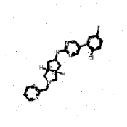 Fc1ccc(Cl)c(-c2cnc(NC3C[C@@H]4CN(Cc5ccccn5)C[C@@H]4C3)nc2)c1